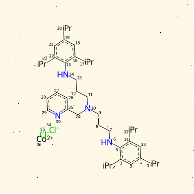 CC(C)c1cc(C(C)C)c(NCCCN(CCCNc2c(C(C)C)cc(C(C)C)cc2C(C)C)Cc2ccccn2)c(C(C)C)c1.[Cl-].[Cl-].[Co+2]